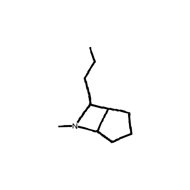 CCCC1C2CCCC2N1C